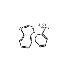 O.Oc1ccccc1.c1ccc2nccnc2c1